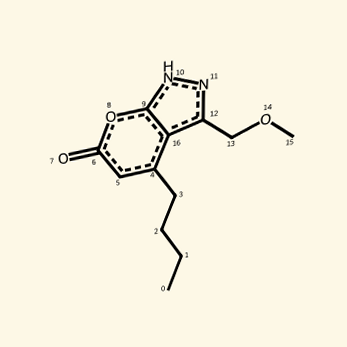 CCCCc1cc(=O)oc2[nH]nc(COC)c12